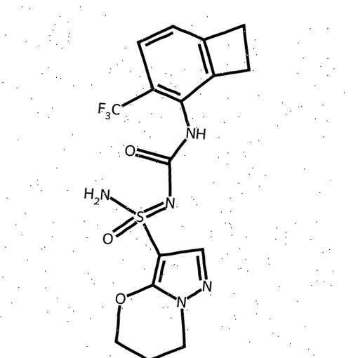 NS(=O)(=NC(=O)Nc1c(C(F)(F)F)ccc2c1CC2)c1cnn2c1OCCC2